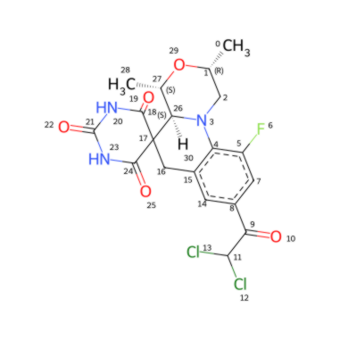 C[C@@H]1CN2c3c(F)cc(C(=O)C(Cl)Cl)cc3CC3(C(=O)NC(=O)NC3=O)[C@H]2[C@H](C)O1